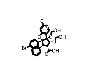 O=C(O)[C@H]1[C@@H](OCO)[C@@]2(OCO)c3cnc(Cl)cc3O[C@@]2(c2ccc(Br)cc2)[C@@H]1c1ccccc1